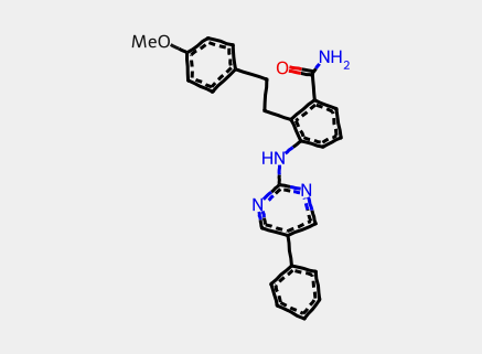 COc1ccc(CCc2c(Nc3ncc(-c4ccccc4)cn3)cccc2C(N)=O)cc1